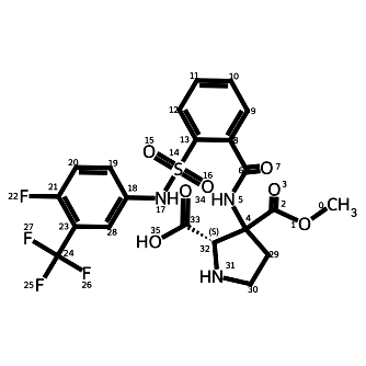 COC(=O)C1(NC(=O)c2ccccc2S(=O)(=O)Nc2ccc(F)c(C(F)(F)F)c2)CCN[C@@H]1C(=O)O